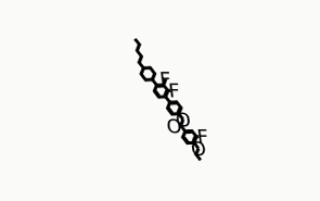 CCCCCC1CCC(c2ccc(-c3ccc(OC(=O)c4ccc(OCC)c(F)c4)cc3)c(F)c2F)CC1